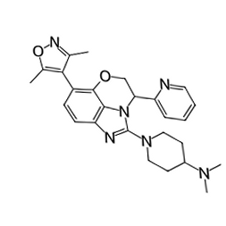 Cc1noc(C)c1-c1ccc2nc(N3CCC(N(C)C)CC3)n3c2c1OCC3c1ccccn1